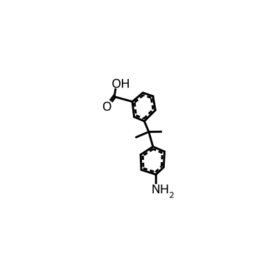 CC(C)(c1ccc(N)cc1)c1cccc(C(=O)O)c1